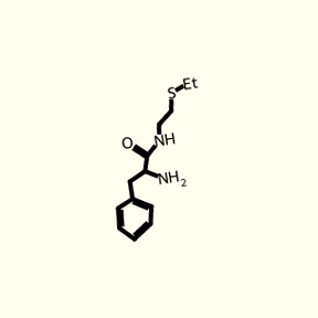 CCSCCNC(=O)C(N)Cc1ccccc1